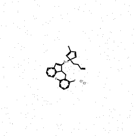 C=CCC[C]1([Zr+2][C]2=Cc3ccccc3C2Cc2c(F)cccc2F)C=CC(C)=C1.[Cl-].[Cl-]